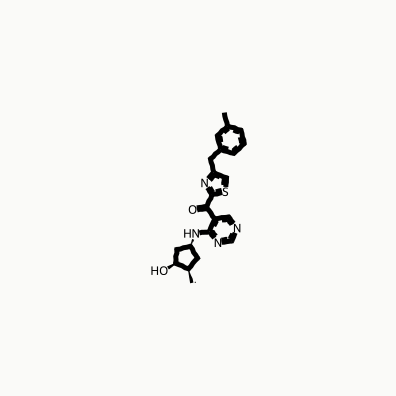 [CH2][C@@H]1C[C@@H](Nc2ncncc2C(=O)c2nc(Cc3cccc(C)c3)cs2)C[C@@H]1O